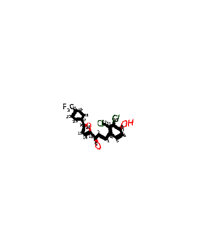 O=C(C=Cc1ccc(O)c(Cl)c1Cl)c1ccc(-c2ccc(C(F)(F)F)cc2)o1